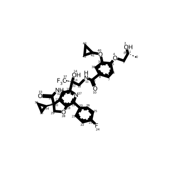 C[C@@H](O)COc1ccc(C(=O)NC[C@](O)(c2cc3c(c(-c4ccc(F)cc4)n2)OC[C@@]3(C(N)=O)C2CC2)C(F)(F)F)cc1OC1CC1